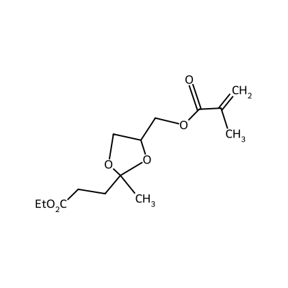 C=C(C)C(=O)OCC1COC(C)(CCC(=O)OCC)O1